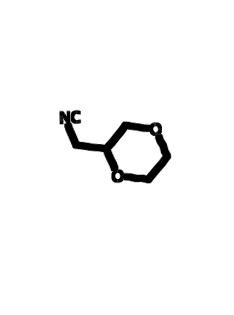 [C-]#[N+]CC1COCCO1